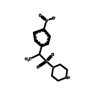 CC(c1ccc([N+](=O)[O-])cc1)S(=O)(=O)N1CCNCC1